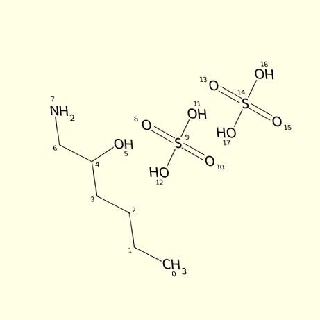 CCCCC(O)CN.O=S(=O)(O)O.O=S(=O)(O)O